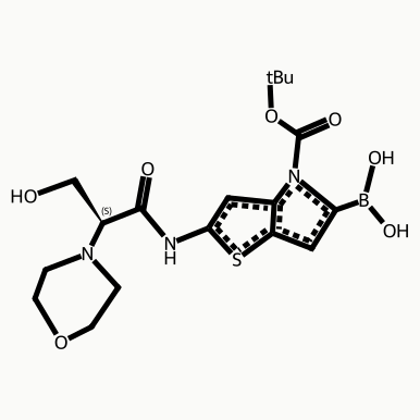 CC(C)(C)OC(=O)n1c(B(O)O)cc2sc(NC(=O)[C@H](CO)N3CCOCC3)cc21